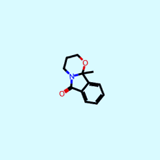 CC12OCCCN1C(=O)c1ccccc12